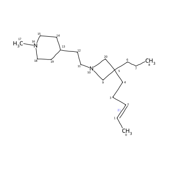 C/C=C/CCC1(CCC)CN(CCC2CCN(C)CC2)C1